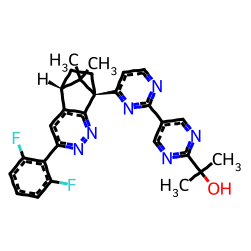 CC(C)(O)c1ncc(-c2nccc([C@@]34CC[C@@H](c5cc(-c6c(F)cccc6F)nnc53)C4(C)C)n2)cn1